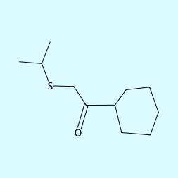 CC(C)SCC(=O)C1CCCCC1